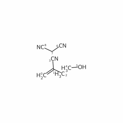 C=C(C)C#N.CO.N#CCC#N